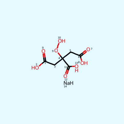 O=C(O)CC(CC(=O)O)(OO)C(=O)O.[NaH]